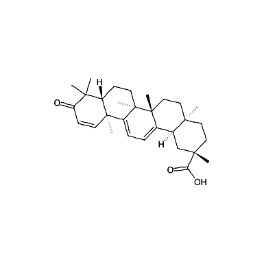 CC1(C)C(=O)C=C[C@]2(C)C3=CC=C4[C@@H]5C[C@@](C)(C(=O)O)CC[C@]5(C)CC[C@@]4(C)[C@]3(C)CC[C@@H]12